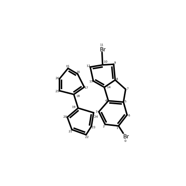 Brc1ccc2c(c1)Cc1cc(Br)ccc1-2.c1ccc(-c2ccccc2)cc1